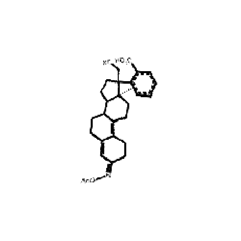 CC(=O)ON=C1C=C2CCC3C(=C2CC1)CC[C@@]1(C)C3CC[C@]1(CC#N)c1ccccc1C(=O)O